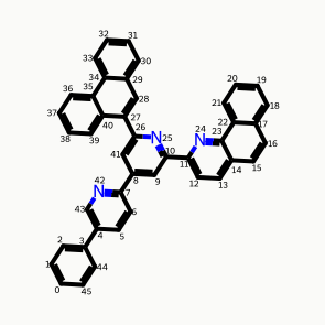 c1ccc(-c2ccc(-c3cc(-c4ccc5ccc6ccccc6c5n4)nc(-c4cc5ccccc5c5ccccc45)c3)nc2)cc1